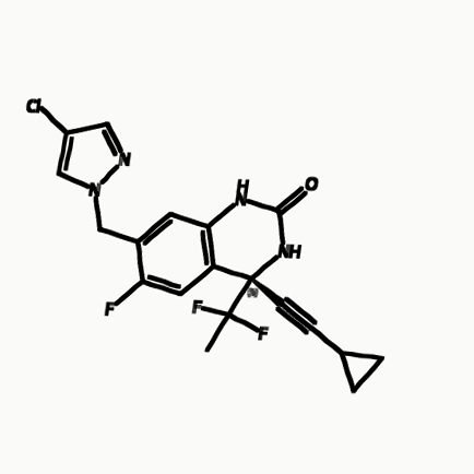 CC(F)(F)[C@@]1(C#CC2CC2)NC(=O)Nc2cc(Cn3cc(Cl)cn3)c(F)cc21